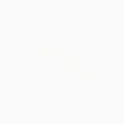 CCCC1C(O)=C2CCC3(C)CC(C)CC(O3)C(O)C(C)C(=O)CC1OC2=O